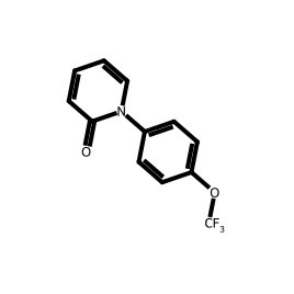 O=c1ccccn1-c1ccc(OC(F)(F)F)cc1